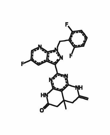 C=C1CC2(C)CC(=O)Nc3nc(-c4nn(Cc5c(F)cccc5F)c5ncc(F)cc45)nc(c32)N1